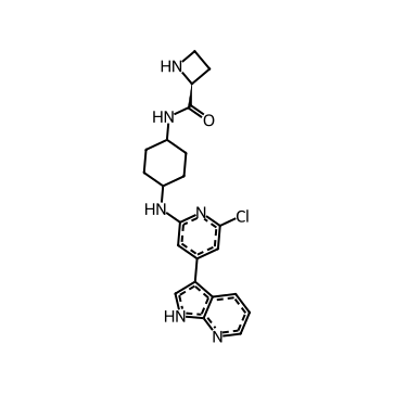 O=C(NC1CCC(Nc2cc(-c3c[nH]c4ncccc34)cc(Cl)n2)CC1)[C@@H]1CCN1